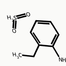 CCc1ccccc1N.O=[SH2]=O